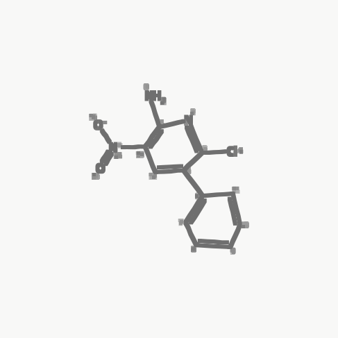 Nc1nc(Cl)c(-c2ccccc2)cc1[N+](=O)[O-]